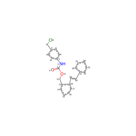 O=C(Nc1ccc(CCl)cc1)OCc1ccccc1C=Cc1ccccc1